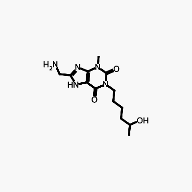 CC(O)CCCCn1c(=O)c2[nH]c(CN)nc2n(C)c1=O